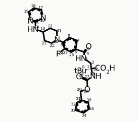 CC(C)(C)[C@@](CNC(=O)c1ccc(N2CCC(Nc3ncccn3)CC2)c(F)c1)(NC(=O)OCc1ccccc1)C(=O)O